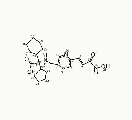 O=C(C=Cc1ccc(CN[C@](C(=O)O)(C2CCCCC2)C2CCCC2)cn1)NO